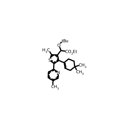 CCOC(=O)C(OC(C)(C)C)c1c(C)sc(-c2ccc(C)cn2)c1C1=CCC(C)(C)CC1